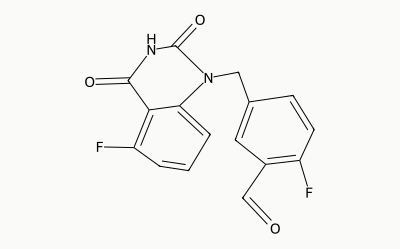 O=Cc1cc(Cn2c(=O)[nH]c(=O)c3c(F)cccc32)ccc1F